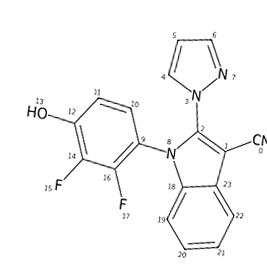 N#Cc1c(-n2cccn2)n(-c2ccc(O)c(F)c2F)c2ccccc12